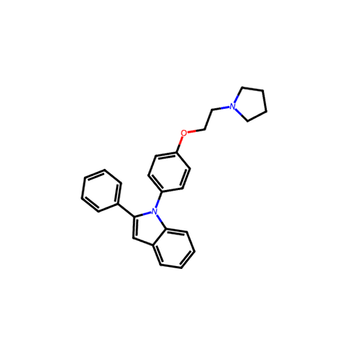 c1ccc(-c2cc3ccccc3n2-c2ccc(OCCN3CCCC3)cc2)cc1